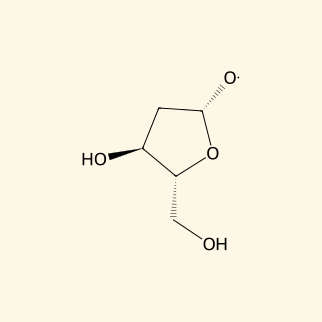 [O][C@H]1C[C@H](O)[C@@H](CO)O1